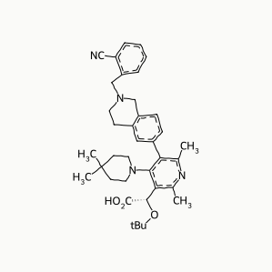 Cc1nc(C)c([C@H](OC(C)(C)C)C(=O)O)c(N2CCC(C)(C)CC2)c1-c1ccc2c(c1)CCN(Cc1ccccc1C#N)C2